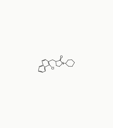 O=C1C(Cc2ccc3ccccc3c2Cl)CCN1C1CCCCC1